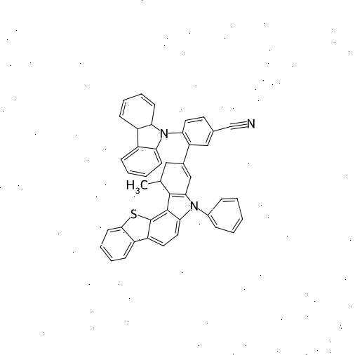 CC1CC(c2cc(C#N)ccc2N2c3ccccc3C3C=CC=CC32)=Cc2c1c1c3sc4ccccc4c3ccc1n2-c1ccccc1